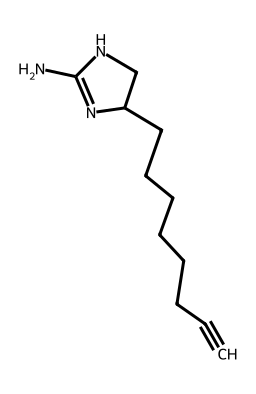 C#CCCCCCCC1CNC(N)=N1